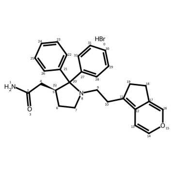 Br.NC(=O)C[C@@H]1CCN(CCC2=C3C=COC=C3CC2)C1(c1ccccc1)c1ccccc1